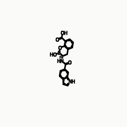 O=C(N[C@H]1Cc2cccc(C(=O)O)c2OB1O)c1ccc2cc[nH]c2c1